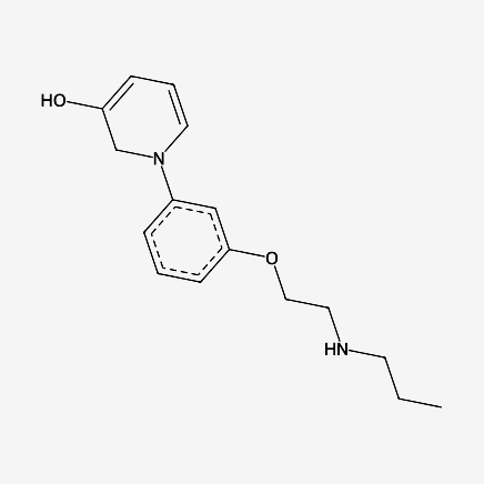 CCCNCCOc1cccc(N2C=CC=C(O)C2)c1